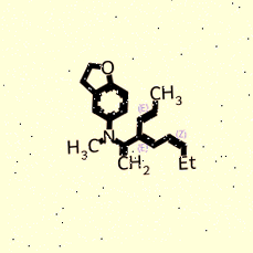 C=C(C(/C=C/C)=C/C=C\CC)N(C)c1ccc2c(c1)CCO2